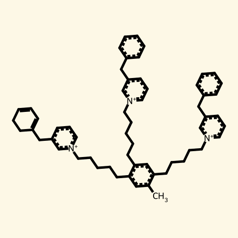 Cc1cc(CCCCC[n+]2cccc(CC3=CC=CCC3)c2)c(CCCCC[n+]2cccc(Cc3ccccc3)c2)cc1CCCCC[n+]1cccc(Cc2ccccc2)c1